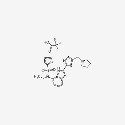 CCN(c1cccc2cc(-c3ncc(CN4CCCC4)s3)[nH]c12)S(=O)(=O)c1cccs1.O=C(O)C(F)(F)F